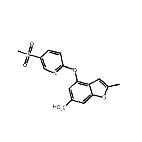 Cc1cc2c(Oc3ccc(S(C)(=O)=O)cn3)cc(C(=O)O)cc2o1